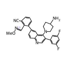 CO/N=C/c1c(C#N)cccc1-c1ccc2ncc(-c3cc(F)cc(F)c3)c(N3CCC(N)CC3)c2c1